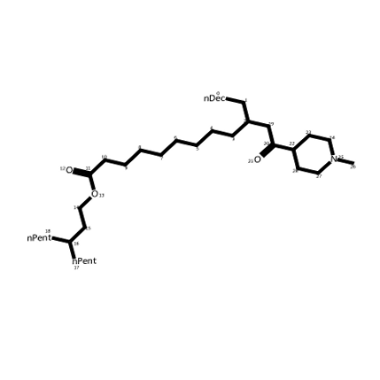 CCCCCCCCCCCC(CCCCCCCCC(=O)OCCC(CCCCC)CCCCC)CC(=O)C1CCN(C)CC1